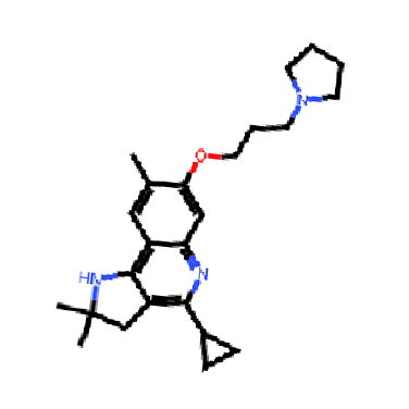 Cc1cc2c3c(c(C4CC4)nc2cc1OCCCN1CCCC1)CC(C)(C)N3